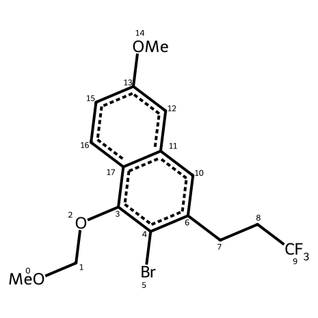 COCOc1c(Br)c(CCC(F)(F)F)cc2cc(OC)ccc12